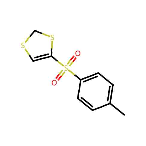 Cc1ccc(S(=O)(=O)C2=CSCS2)cc1